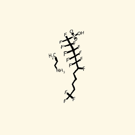 C=CCN.O=S(=O)(O)C(F)(F)C(F)(F)C(F)(F)C(F)(F)C(F)(F)C(F)CCCCC(F)(F)F